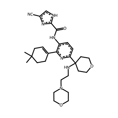 CC1(C)CC=C(c2nc(C3(NCCN4CCOCC4)CCOCC3)ccc2NC(=O)c2nc(C#N)c[nH]2)CC1